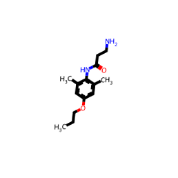 CCCOc1cc(C)c(NC(=O)CCN)c(C)c1